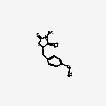 CCOc1ccc(C=C2SC(=S)N(CC)C2=O)cc1